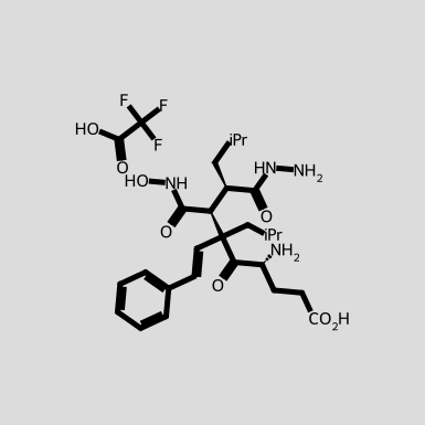 CC(C)C[C@@H](C(=O)NN)[C@H](C(=O)NO)C(/C=C/c1ccccc1)(CC(C)C)C(=O)[C@H](N)CCC(=O)O.O=C(O)C(F)(F)F